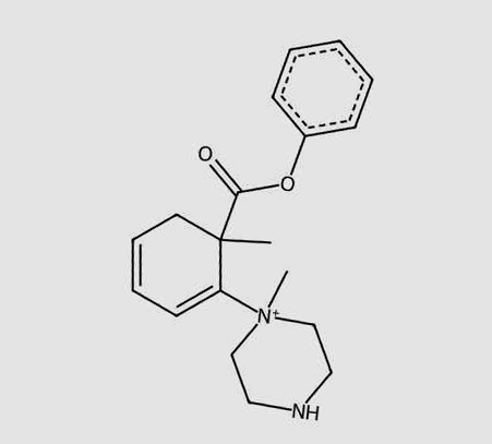 CC1(C(=O)Oc2ccccc2)CC=CC=C1[N+]1(C)CCNCC1